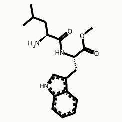 COC(=O)[C@H](Cc1c[nH]c2ccccc12)NC(=O)[C@@H](N)CC(C)C